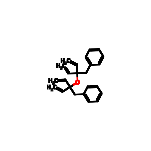 C=CC(C=C)(Cc1ccccc1)OC(C=C)(C=C)Cc1ccccc1